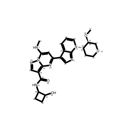 CNc1cc(-c2cnc3n([C@H]4CCOC[C@@H]4OC)cccc2-3)nc2c(C(=O)NC3CCC3O)cnn12